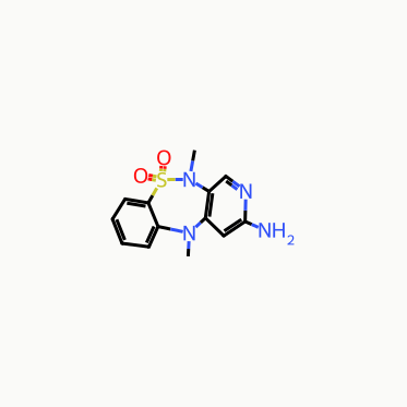 CN1c2cc(N)ncc2N(C)S(=O)(=O)c2ccccc21